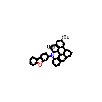 CC(C)(C)c1cc(-c2cccc3cccc(-c4ccccc4N(c4ccccc4)c4ccc5c(c4)oc4ccccc45)c23)cc(C(C)(C)C)c1